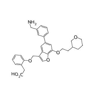 NCc1cccc(-c2cc(OCCC3CCCOC3)c3occ(COc4ccccc4CC(=O)O)c3c2)c1